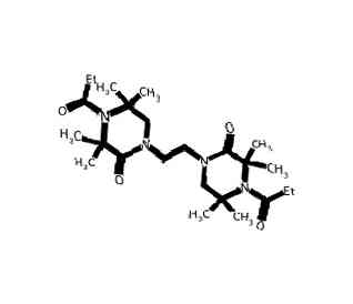 CCC(=O)N1C(C)(C)CN(CCN2CC(C)(C)N(C(=O)CC)C(C)(C)C2=O)C(=O)C1(C)C